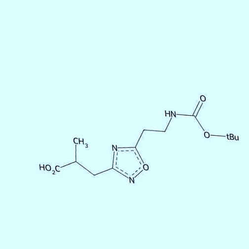 CC(Cc1noc(CCNC(=O)OC(C)(C)C)n1)C(=O)O